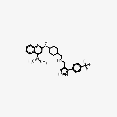 CN(C)c1cc(NC2CCC(CNCc3c[nH]nc3-c3ccc(C(F)(F)F)cc3)CC2)nc2ccccc12